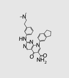 CN(C)CCc1cccc(Nc2ncc3c(=O)c(C(N)=O)cn(-c4ccc5c(c4)CCC5)c3n2)c1